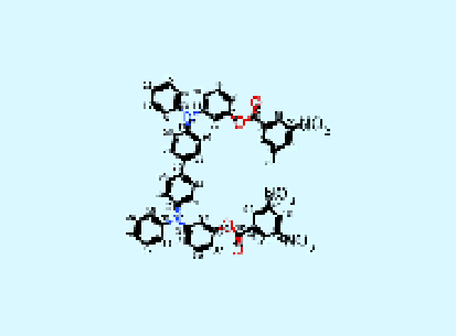 Cc1cc(C(=O)Oc2cccc(N(c3ccccc3)c3ccc(-c4ccc(N(c5ccccc5)c5cccc(OC(=O)c6cc([N+](=O)[O-])cc([N+](=O)[O-])c6)c5)cc4)cc3)c2)cc([N+](=O)[O-])c1